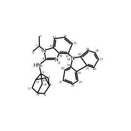 CC(C)n1c(NC23CC4CC(CC2C4)C3)nc2c(-n3c4ccccc4c4ccccc43)cccc21